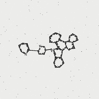 c1ccc(-c2ccc(-n3c4ccccc4c4c5ccc6ccccc6c5c5ccccc5c43)cn2)nc1